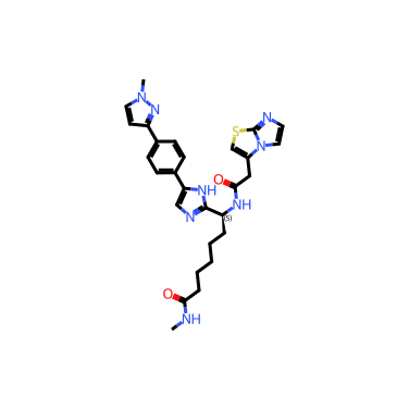 CNC(=O)CCCCC[C@H](NC(=O)Cc1csc2nccn12)c1ncc(-c2ccc(-c3ccn(C)n3)cc2)[nH]1